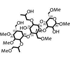 COCC(C)OC1C(OC)[C@H](OC)[C@H](CO)C[C@H]1O[C@@H]1C(COC)O[C@@H](O[C@H]2C(OC)C(O)[C@H](OC)O[C@H]2COC)C(OCC(C)O)[C@H]1O